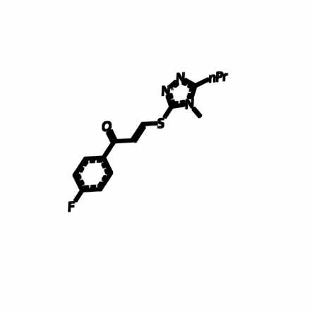 CCCc1nnc(S/C=C/C(=O)c2ccc(F)cc2)n1C